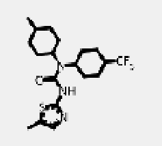 Cc1cnc(NC(=O)N(C2CCC(C)CC2)C2CCC(C(F)(F)F)CC2)s1